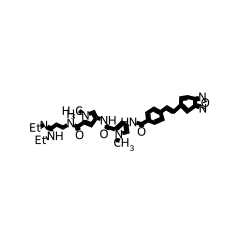 CC/N=C(/CCNC(=O)c1cc(NC(=O)c2cc(NC(=O)c3ccc(/C=C/c4ccc5nonc5c4)cc3)cn2C)cn1C)NCC